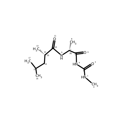 CNC(=O)NC(=O)[C@@H](C)NC(=O)[C@@H](C)CC(C)C